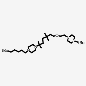 CC(C)(C)CCCCCN1CCN(C(C)(C)CCC(C)(C)CCOCCN2CCN(C(C)(C)C)CC2)CC1